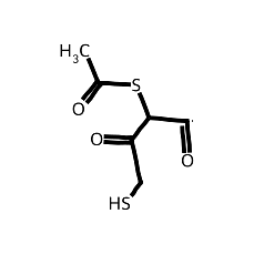 CC(=O)SC([C]=O)C(=O)CS